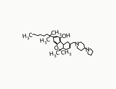 CCCCCCC(C)(C)c1cc(O)c2c(c1)OC(C)(C)C1CC=C(CN3CCC(N4CCCC4)CC3)CC21